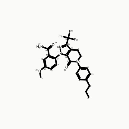 CCCc1ccc(N2CCc3c(C(F)(F)F)nn(-c4ccc(OC)cc4C(N)=O)c3C2=O)cc1